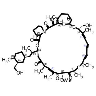 CO[C@H]1C(=O)[C@@H](C)C[C@H](C)/C=C/C=C/C=C(\C)[C@@H](CO)C[C@@H]2CCC[C@@H](C)[C@@](O)(O2)C(=O)C(=O)N2CCCC[C@H]2C(=O)O[C@H]([C@H](C)C[C@@H]2CC[C@H](C)[C@H](CO)C2)CC(=O)[C@H](C)/C=C(\C)[C@H]1O